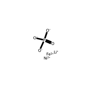 O=P([O-])([O-])[O-].[Fe+2].[Li+].[Ni+2]